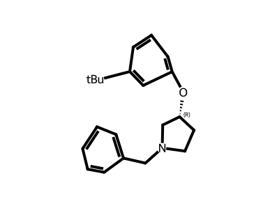 CC(C)(C)c1cccc(O[C@@H]2CCN(Cc3ccccc3)C2)c1